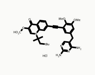 COc1cc(Cc2cnc(N)nc2N)cc(C#Cc2ccc3c(=O)c(OC(=O)O)cn(C(C)(C)CC(C)(C)C)c3c2)c1OC.Cl